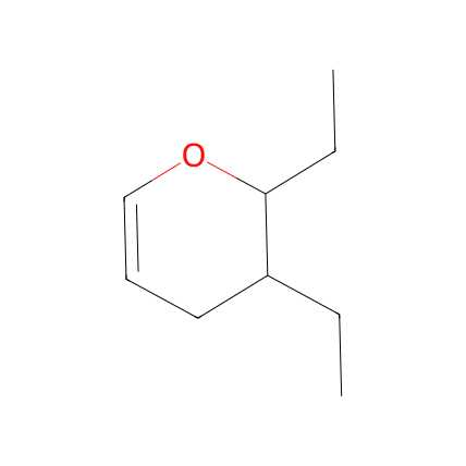 CCC1CC=COC1CC